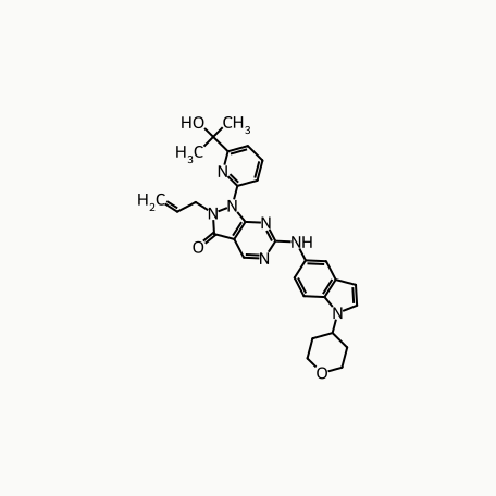 C=CCn1c(=O)c2cnc(Nc3ccc4c(ccn4C4CCOCC4)c3)nc2n1-c1cccc(C(C)(C)O)n1